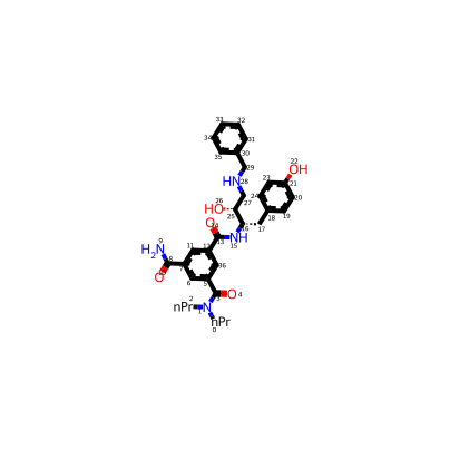 CCCN(CCC)C(=O)c1cc(C(N)=O)cc(C(=O)N[C@@H](Cc2ccc(O)cc2)[C@H](O)CNCc2ccccc2)c1